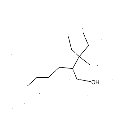 CCCCC(CO)C(C)(CC)CC